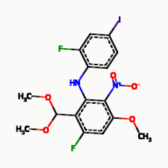 COc1cc(F)c(C(OC)OC)c(Nc2ccc(I)cc2F)c1[N+](=O)[O-]